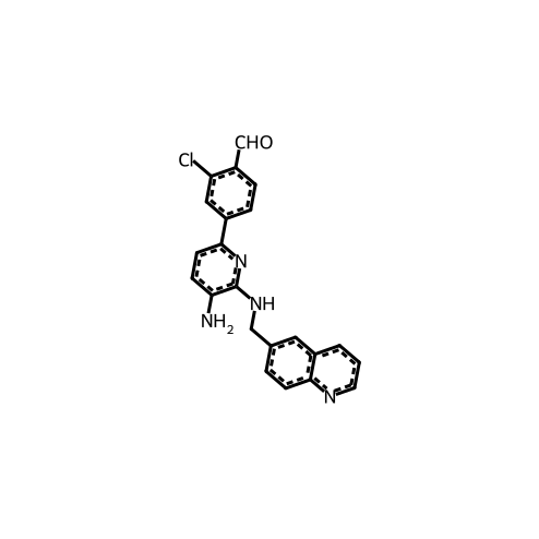 Nc1ccc(-c2ccc(C=O)c(Cl)c2)nc1NCc1ccc2ncccc2c1